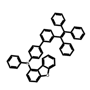 c1ccc(C(=C(c2ccccc2)c2cccc(-c3ccc(N(c4ccccc4)c4cccc5oc6ccccc6c45)cc3)c2)c2ccccc2)cc1